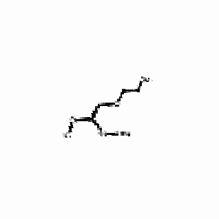 CCOC(COCCOC)NC(C)(C)C